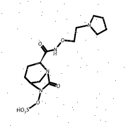 O=C(NOCCN1CCCC1)[C@@H]1CCC2CN1C(=O)N2OS(=O)(=O)O